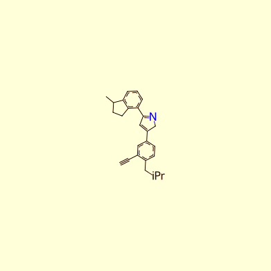 C#Cc1cc(C2=CC(c3cccc4c3CCC4C)=NC2)ccc1CC(C)C